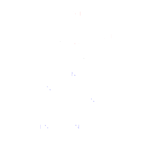 CC1c2nc3c(N)ncnc3n2C2OC1C(O)C2O